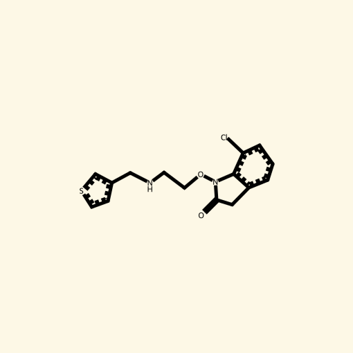 O=C1Cc2cccc(Cl)c2N1OCCNCc1ccsc1